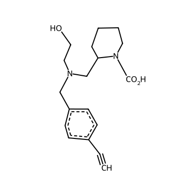 C#Cc1ccc(CN(CCO)CC2CCCCN2C(=O)O)cc1